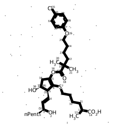 CCCCC[C@H](O)C=C[C@@H]1C(SCCCCC(C)C(=O)O)=C(OC(=O)C(C)(C)CCCCOc2ccc(Cl)cc2)C[C@H]1O